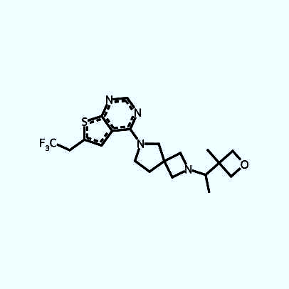 CC(N1CC2(CCN(c3ncnc4sc(CC(F)(F)F)cc34)C2)C1)C1(C)COC1